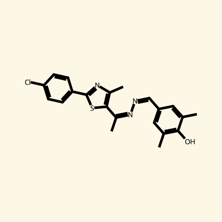 C/C(=N/N=C\c1cc(C)c(O)c(C)c1)c1sc(-c2ccc(Cl)cc2)nc1C